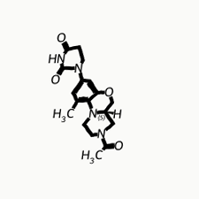 CC(=O)N1CCN2c3c(C)cc(N4CCC(=O)NC4=O)cc3OC[C@@H]2C1